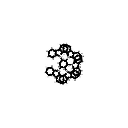 C1=Cc2c(c3ccccc3n2-c2c(-n3c4ccccc4c4ccccc43)cc(-n3c4ccccc4c4ccccc43)c(-n3c4ccccc4c4ccccc43)c2-n2c3ccccc3c3ccccc32)CC1